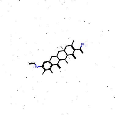 C=CNc1cc2c(c(C)c1C)C(=C)C1=C(C)[C@]3(C)C(=C)C(C(=C)N)=C(C)C[C@]3(C)CC1C2